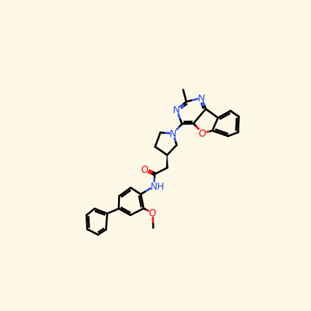 COc1cc(-c2ccccc2)ccc1NC(=O)C[C@H]1CCN(c2nc(C)nc3c2oc2ccccc23)C1